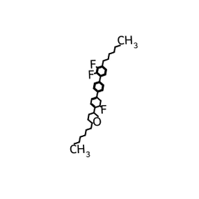 CCCCCCCc1ccc(-c2ccc(C3=CC=C(C4CCC(CCCCCCC)OC4)C(F)C3)cc2)c(F)c1F